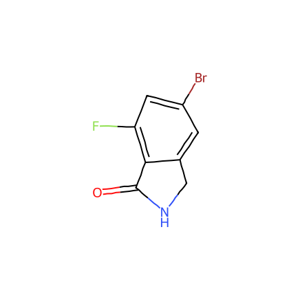 O=C1NCc2cc(Br)cc(F)c21